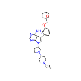 CN1CCC(N2CCC(n3cc(-c4cccc(OCC56CCC(CC5)O6)c4)c4c(N)ncnc43)C2)CC1